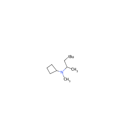 CC(CC(C)(C)C)N(C)C1CCC1